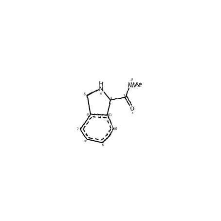 CNC(=O)C1NCc2ccccc21